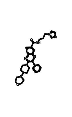 O=C(NCCCn1ccnc1)c1ccc2nc(N3CCC(N4CCOCC4)CC3)c(-c3ccccc3)nc2c1